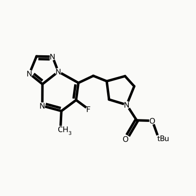 Cc1nc2ncnn2c(CC2CCN(C(=O)OC(C)(C)C)C2)c1F